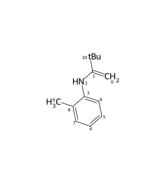 C=C(Nc1ccccc1C)C(C)(C)C